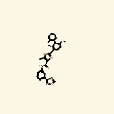 COc1ccc(-c2nc(C(=O)Nc3cccc(-c4ncon4)c3)c(C)[nH]2)c(C)c1-c1ccccc1C